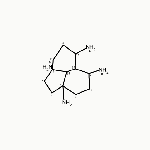 NC1CCC2(N)CCC3(N)CCC(N)C1C23